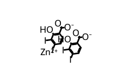 O=C([O-])c1ccc(I)c(I)c1O.O=C([O-])c1ccc(I)c(I)c1O.[Zn+2]